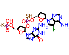 Nc1nc2c(ncn2[C@@H]2O[C@H](COP(=O)(O)S)CC2OP(=O)(S)OC[C@@H]2CC[C@H](n3cc(F)c4c(N)ncnc43)O2)c(=O)[nH]1